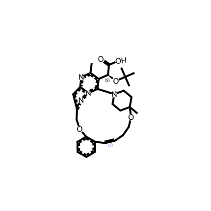 Cc1nc2cc3nn2c(c1[C@H](OC(C)(C)C)C(=O)O)N1CCC(C)(CC1)OCC/C=C\c1ccccc1OC3